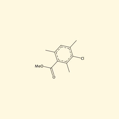 COC(=O)c1c(C)cc(C)c(Cl)c1C